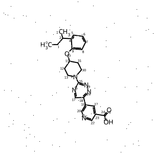 CCC(C)c1ccccc1OC1CCN(c2ncc(-c3cncc(C(=O)O)c3)nn2)CC1